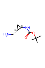 CC(C)(C)OC(=O)N[C@@H]1C[C@H]1CN